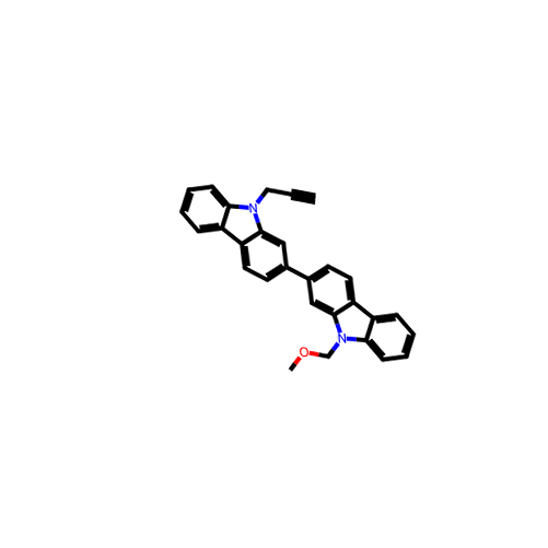 C#CCn1c2ccccc2c2ccc(-c3ccc4c5ccccc5n(COC)c4c3)cc21